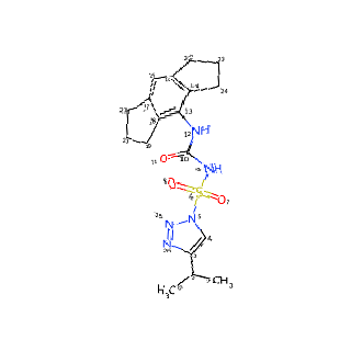 CC(C)c1cn(S(=O)(=O)NC(=O)Nc2c3c(cc4c2CCC4)CCC3)nn1